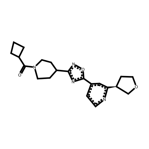 O=C(C1CCC1)N1CCC(c2noc(-c3ccnc([C@H]4CCOC4)c3)n2)CC1